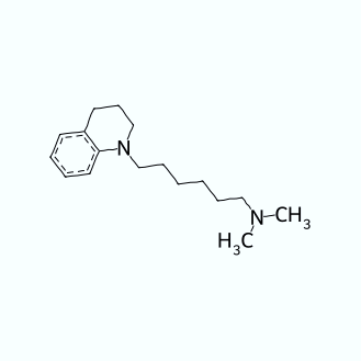 CN(C)CCCCCCN1CCCc2ccccc21